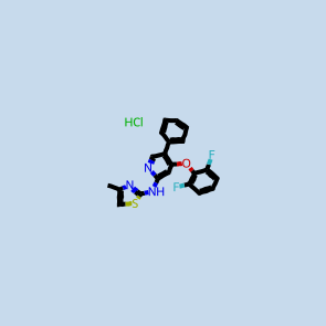 Cc1csc(Nc2cc(Oc3c(F)cccc3F)c(-c3ccccc3)cn2)n1.Cl